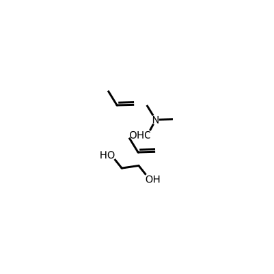 C=CC.C=CC.CN(C)C=O.OCCO